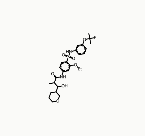 CCOc1cc(NC(=O)C(C)C(O)C2CCCOC2)ccc1S(=O)(=O)Nc1cccc(OC(C)(C)F)c1